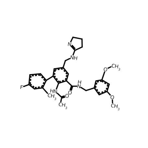 COc1cc(CNC(=O)c2cc(CNC3=NCCC3)cc(-c3ccc(F)cc3C)c2NC(C)=O)cc(OC)c1